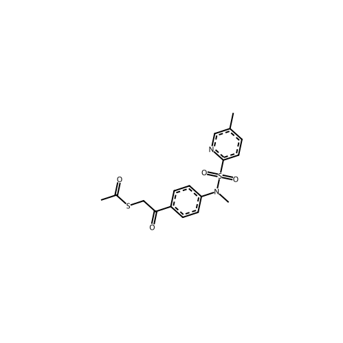 CC(=O)SCC(=O)c1ccc(N(C)S(=O)(=O)c2ccc(C)cn2)cc1